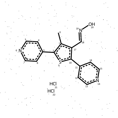 Cc1c(-c2ccncc2)sc(-c2ccncc2)c1/C=N/O.Cl.Cl